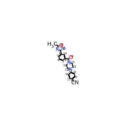 Cc1nc(-c2cccc(C(=O)N3CCN(c4ccc(C#N)cc4)CC3)c2)no1